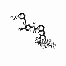 COC(OC)c1nc2c(cc1CO[Si](C)(C)C(C)(C)C)CCCN2C(=O)Nc1cc(OCC2CCCN(C)C2)c(C#N)cn1